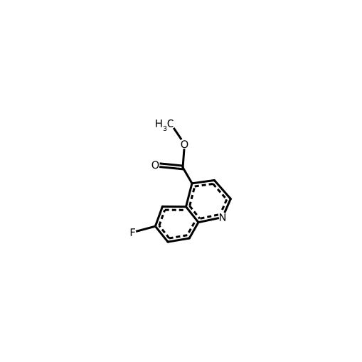 COC(=O)c1ccnc2ccc(F)cc12